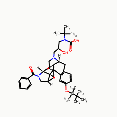 CC(C)(C)N(CC(O)CN1CC[C@@]23c4cc(O[Si](C)(C)C(C)(C)C)ccc4C[C@@H]1[C@]21CC[C@@H]2[C@H]3[C@@H](CN2C(=O)c2ccccc2)C1)C(=O)O